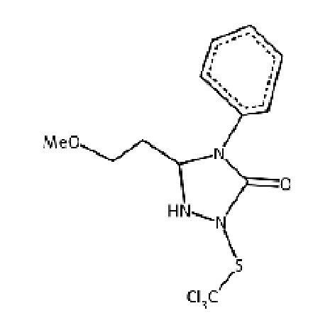 COCCC1NN(SC(Cl)(Cl)Cl)C(=O)N1c1ccccc1